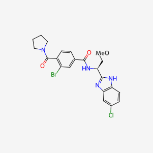 COC[C@H](NC(=O)c1ccc(C(=O)N2CCCC2)c(Br)c1)c1nc2cc(Cl)ccc2[nH]1